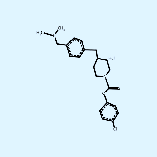 CN(C)Cc1ccc(CC2CCN(C(=S)Oc3ccc(Cl)cc3)CC2)cc1.Cl